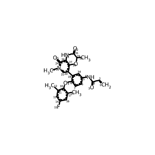 C=CC(=O)Nc1ccc(Oc2c(C)cc(F)cc2C)c(-c2cn(C)c(=O)c3c2OC(C)C(=O)N3)c1